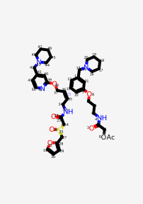 CC(=O)OCC(=O)NCCCOc1cccc(CN2CCCCC2)c1.O=C(C[S+]([O-])Cc1ccco1)NC/C=C\COc1cc(CN2CCCCC2)ccn1